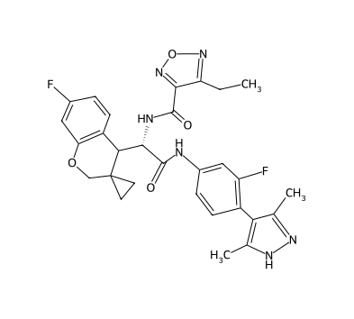 CCc1nonc1C(=O)N[C@H](C(=O)Nc1ccc(-c2c(C)n[nH]c2C)c(F)c1)C1c2ccc(F)cc2OCC12CC2